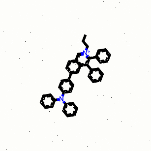 CCC[n+]1cc2ccc(-c3ccc(N(c4ccccc4)c4ccccc4)cc3)cc2c(-c2ccccc2)c1-c1ccccc1